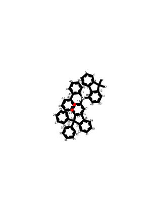 CC1(C)c2ccccc2-c2c(N(c3ccc4c(c3)-c3ccccc3C4(c3ccccc3)c3ccccc3)c3ccccc3-c3ccccc3)cccc21